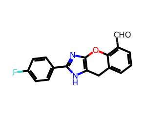 O=Cc1cccc2c1Oc1nc(-c3ccc(F)cc3)[nH]c1C2